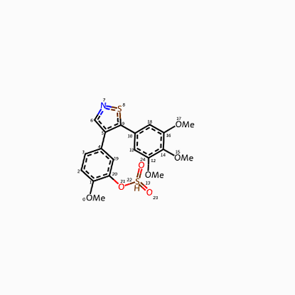 COc1ccc(-c2cnsc2-c2cc(OC)c(OC)c(OC)c2)cc1O[SH](=O)=O